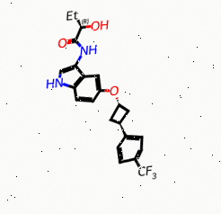 CC[C@@H](O)C(=O)Nc1c[nH]c2ccc(O[C@H]3C[C@H](c4ccc(C(F)(F)F)cc4)C3)cc12